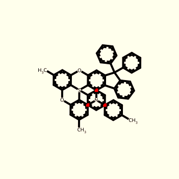 Cc1ccc(N2c3cc(C)cc4c3S3(c5ccccc5)c5c(cc(C)cc5Oc5cc6c(c2c53)-c2ccccc2C6(c2ccccc2)c2ccccc2)O4)cc1